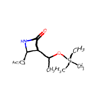 CC(=O)OC1NC(=O)C1C(C)O[Si](C)(C)C